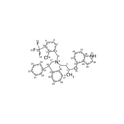 CC(CCN(Cc1cccc(C(F)(F)F)c1Cl)CC(c1ccccc1)c1ccccc1)Oc1cccc2[nH]ccc12